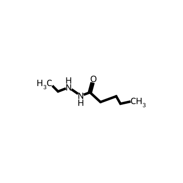 CCCCC(=O)NNCC